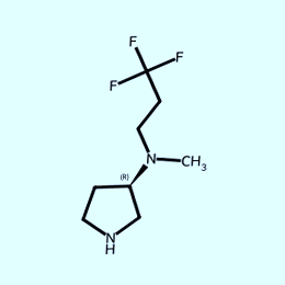 CN(CCC(F)(F)F)[C@@H]1CCNC1